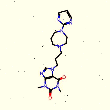 Cn1c(=O)c2c(ncn2CCCN2CCCN(c3ncccn3)CC2)n(C)c1=O